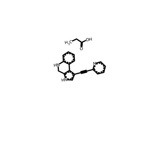 C(#Cc1c[nH]c2c1-c1ccccc1NC2)c1ccccn1.CCC(=O)O